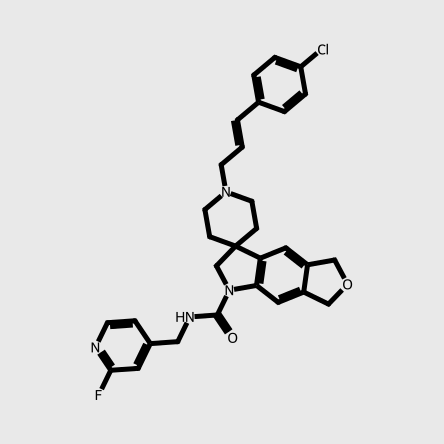 O=C(NCc1ccnc(F)c1)N1CC2(CCN(CC=Cc3ccc(Cl)cc3)CC2)c2cc3c(cc21)COC3